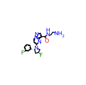 NCCNC(=O)c1cnn2ccc(N3C[C@@H](F)C[C@@H]3c3cccc(F)c3)nc12